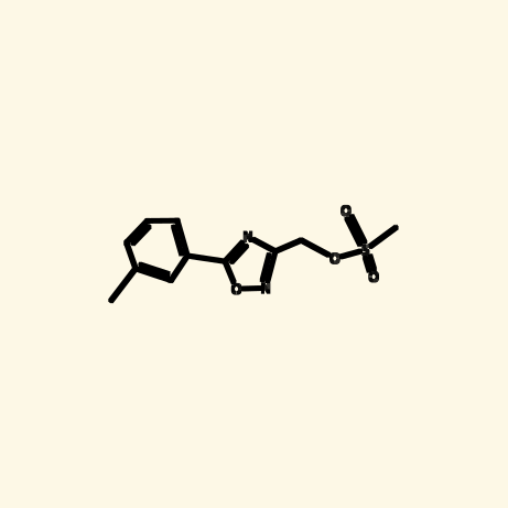 Cc1cccc(-c2nc(COS(C)(=O)=O)no2)c1